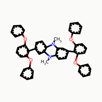 CN1c2ccc(-c3c(Oc4ccccc4)cccc3Oc3ccccc3)cc2N(C)c2ccc(-c3c(Oc4ccccc4)cccc3Oc3ccccc3)cc21